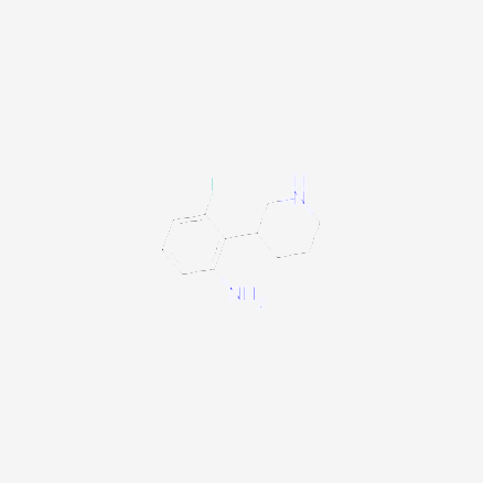 Nc1cccc(F)c1C1CCCNC1